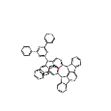 c1ccc(-c2cccc(-n3c4ccccc4c4ccc5c6ccccc6n(-c6ccc7c(c6)c6ccccc6n7-c6nc(-c7ccccc7)nc(-c7ccccc7)n6)c5c43)c2)cc1